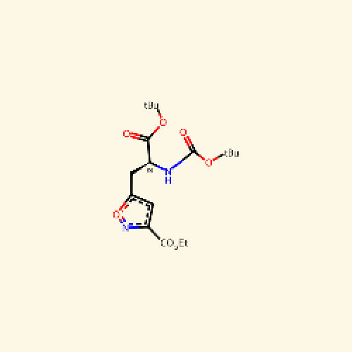 CCOC(=O)c1cc(C[C@H](NC(=O)OC(C)(C)C)C(=O)OC(C)(C)C)on1